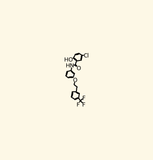 O=C(Nc1cccc(OCCc2cccc(C(F)(F)F)c2)c1)c1cc(Cl)ccc1O